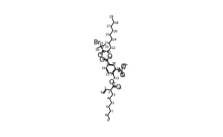 C=CC(CCCCCCC)C(=O)OCc1ccc(C(=O)OC(CCCCCCCC)C(=O)C(C)(C)Br)cc1[N+](=O)[O-]